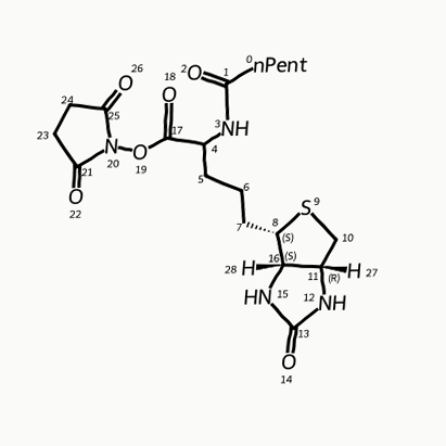 CCCCCC(=O)NC(CCC[C@@H]1SC[C@@H]2NC(=O)N[C@@H]21)C(=O)ON1C(=O)CCC1=O